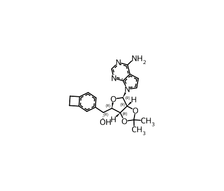 CC1(C)O[C@H]2[C@@H](O1)[C@H](n1ccc3c(N)ncnc31)O[C@@H]2[C@H](O)c1ccc2c(c1)CC2